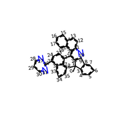 CC1(C)c2ccccc2-c2nc3ccc4ccccc4c3c(-c3ccc(-c4ncccn4)c4ccccc34)c21